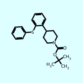 CC(C)(C)OC(=O)N1CCC(c2ccccc2Sc2ccccc2)CC1